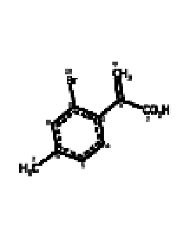 C=C(C(=O)O)c1ccc(C)cc1Br